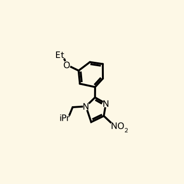 CCOc1cccc(-c2nc([N+](=O)[O-])cn2CC(C)C)c1